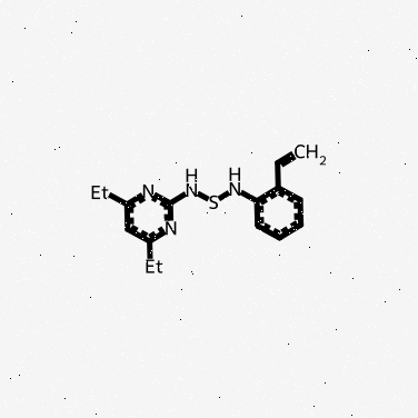 C=Cc1ccccc1NSNc1nc(CC)cc(CC)n1